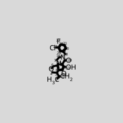 C=C(C)C1COCc2c1c(=O)c(O)c1n2CCN(Cc2ccc(F)c(Cl)c2)C1=O